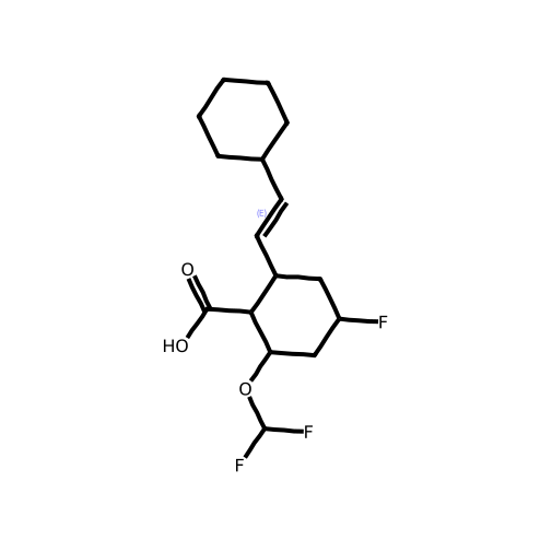 O=C(O)C1C(/C=C/C2CCCCC2)CC(F)CC1OC(F)F